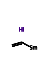 C=[CH][Sm].I